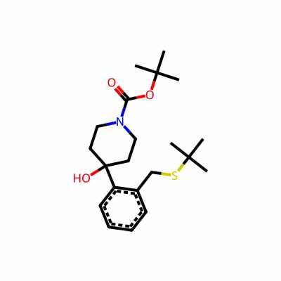 CC(C)(C)OC(=O)N1CCC(O)(c2ccccc2CSC(C)(C)C)CC1